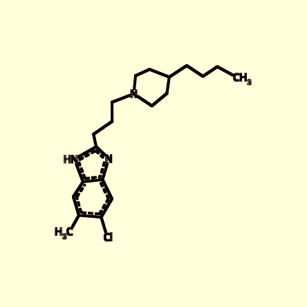 CCCCC1CCN(CCCc2nc3cc(Cl)c(C)cc3[nH]2)CC1